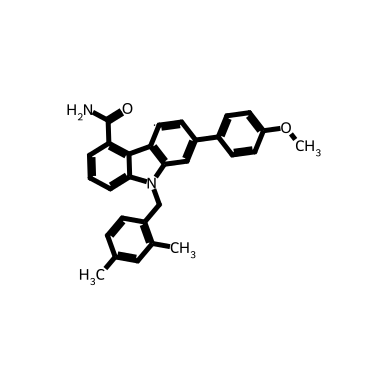 COc1ccc(-c2c[c]c3c4c(C(N)=O)cccc4n(Cc4ccc(C)cc4C)c3c2)cc1